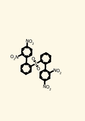 O=[N+]([O-])c1ccc(-c2ccccc2S(=O)(=O)c2ccccc2-c2ccc([N+](=O)[O-])cc2[N+](=O)[O-])c([N+](=O)[O-])c1